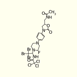 CC(=O)NCC1CN(c2ccc(N3CCN(C(NC(=O)C(Cl)(Cl)Cl)C(Br)(Br)Br)C(F)C3)cc2)C(=O)O1